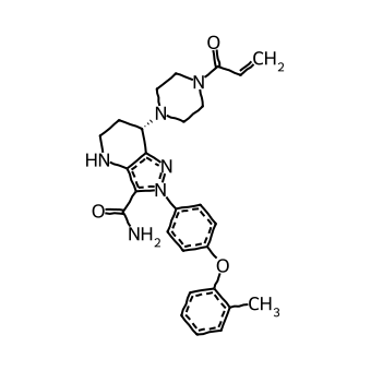 C=CC(=O)N1CCN([C@H]2CCNc3c2nn(-c2ccc(Oc4ccccc4C)cc2)c3C(N)=O)CC1